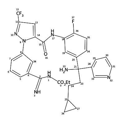 CCOC(=O)NC(=N)c1cccc(-n2nc(C(F)(F)F)cc2C(=O)Nc2cc(C(N)(CCC3CC3)c3cccnc3)ccc2F)c1